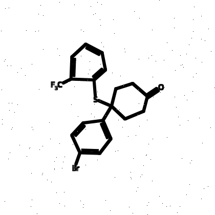 O=C1CCC(Sc2ccccc2C(F)(F)F)(c2ccc(Br)cc2)CC1